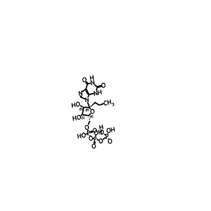 CCC[C@@]1(n2cnc3c(=O)[nH]c(=O)[nH]c32)O[C@H](COP(=O)(O)OP(=O)(O)OP(=O)(O)O)[C@@H](O)[C@H]1O